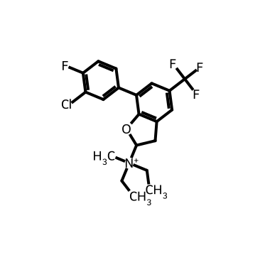 CC[N+](C)(CC)C1Cc2cc(C(F)(F)F)cc(-c3ccc(F)c(Cl)c3)c2O1